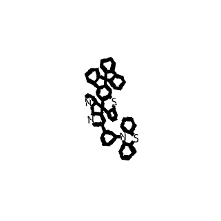 c1cc(-c2cnc3c(c2)C2(c4ccccc4Sc4cc5c(cc42)-c2ccccc2C52c4ccccc4-c4ccccc42)c2cccnc2-3)cc(N2c3ccccc3Sc3ccccc32)c1